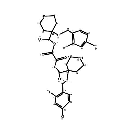 CC(OC(=O)C(=O)OC(C)C1(OCc2ccc(Cl)cc2F)CCNCC1)C1(OCc2ccc(Cl)cc2F)CCNCC1